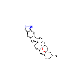 C=C1CCC2=CC3=CC[C@]4(C)C(c5ccc6cn[nH]c6c5)=CC[C@H]4[C@@]34CC[C@]2(C1)O4